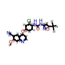 COc1cc2nccc(Oc3ccc(NC(=O)Nc4cc(C(C)(C)C)on4)c(Cl)c3)c2cc1C#N